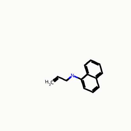 C=CC[N]c1cccc2ccccc12